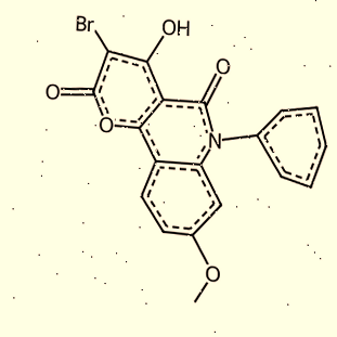 COc1ccc2c3oc(=O)c(Br)c(O)c3c(=O)n(-c3ccccc3)c2c1